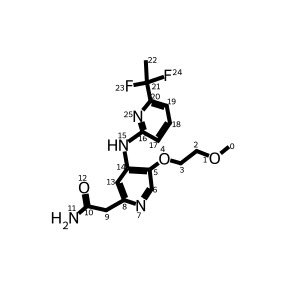 COCCOc1cnc(CC(N)=O)cc1Nc1cccc(C(C)(F)F)n1